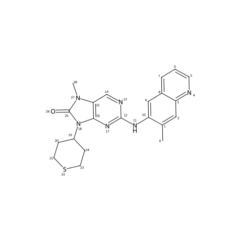 Cc1cc2ncccc2cc1Nc1ncc2c(n1)n(C1CCSCC1)c(=O)n2C